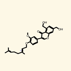 COc1cc(-c2coc3cc(CO)cc(CO)c3c2=O)ccc1OC/C=C(\C)CCC=C(C)C